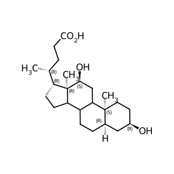 C[C@H](CCC(=O)O)[C@H]1CCC2C3CC[C@@H]4C[C@H](O)CC[C@]4(C)C3C[C@H](O)[C@@]21C